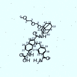 COCCOCOC12CC3CC(CC(NC(=O)c4cc5ccc(NC(=O)O)cc5n4Cc4ccc(C(N)=O)cc4)(C3)C1)C2